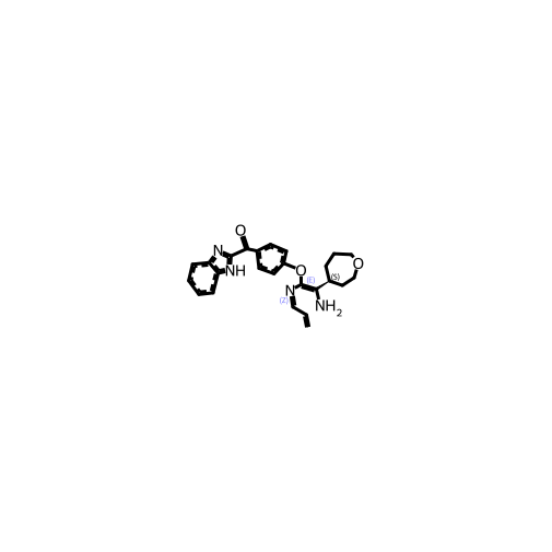 C=C/C=N\C(Oc1ccc(C(=O)c2nc3ccccc3[nH]2)cc1)=C(/N)[C@H]1CCCOCC1